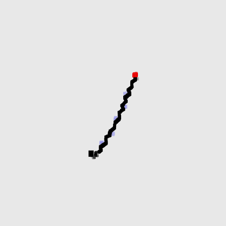 CC/C=C/C/C=C/C/C=C/C/C=C/C/C=C/CCC[C]=O